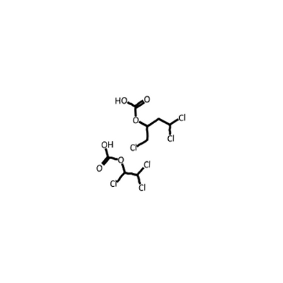 O=C(O)OC(CCl)CC(Cl)Cl.O=C(O)OC(Cl)C(Cl)Cl